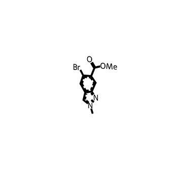 COC(=O)c1cc2nn(C)cc2cc1Br